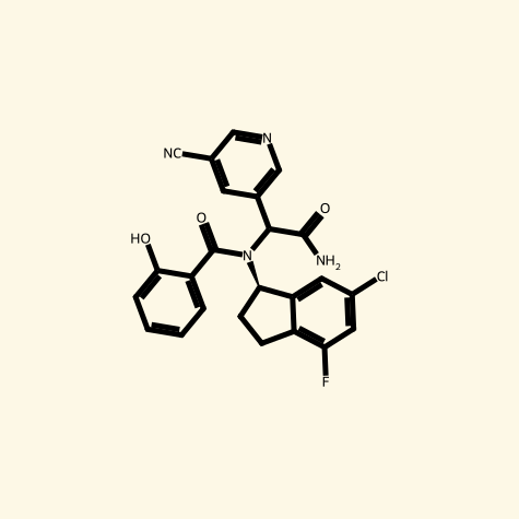 N#Cc1cncc(C(C(N)=O)N(C(=O)c2ccccc2O)[C@@H]2CCc3c(F)cc(Cl)cc32)c1